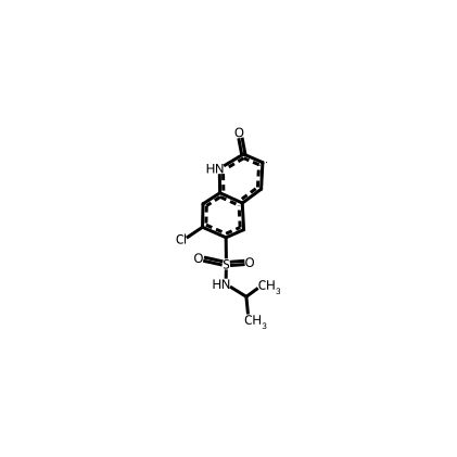 CC(C)NS(=O)(=O)c1cc2c[c]c(=O)[nH]c2cc1Cl